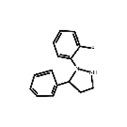 Fc1ccccc1N1NCCC1c1ccccc1